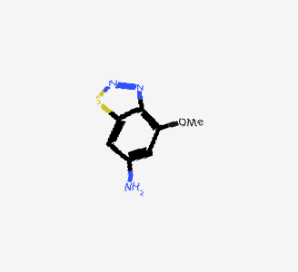 COc1cc(N)cc2snnc12